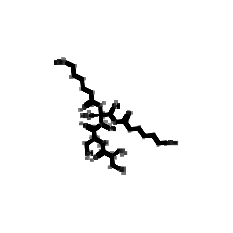 CCCCCCCCCCCCCCCC(=O)OC(O)[C@@](OC(=O)CCCCCCCCCCCCCCC)(C(=O)O)N(CCC)C(=O)[C@H](CO)NC(=O)[C@@H](N)CS